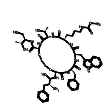 C[C@@H](O)[C@@H]1NC(=O)[C@H](CCCCNC(=O)OC(C)(C)C)NC(=O)[C@@H](Cc2c[nH]c3ccccc23)NC(=O)[C@H](Cc2ccccc2)NC(=O)[C@@H](NC(O)[C@H](N)Cc2ccccc2)CSSC[C@@H](C(=O)N[C@H](CO)[C@@H](C)O)NC1=O